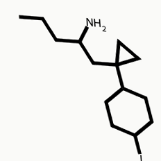 CCCC(N)CC1(C2CCC(I)CC2)CC1